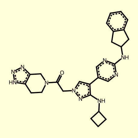 O=C(Cn1cc(-c2cnc(NC3Cc4ccccc4C3)nc2)c(NC2CCC2)n1)N1CCc2[nH]nnc2C1